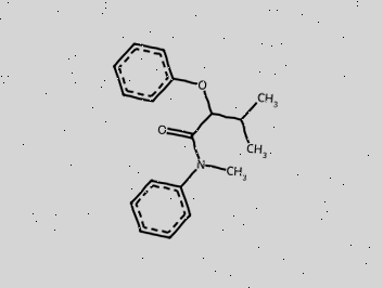 CC(C)C(Oc1ccccc1)C(=O)N(C)c1ccccc1